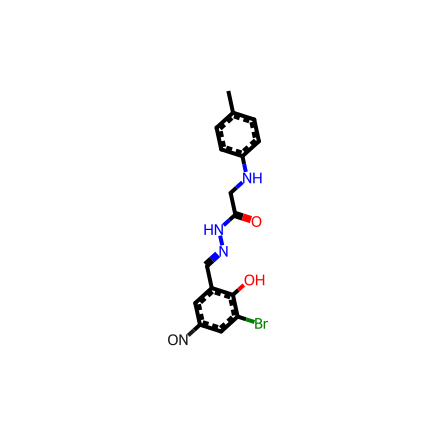 Cc1ccc(NCC(=O)N/N=C/c2cc(N=O)cc(Br)c2O)cc1